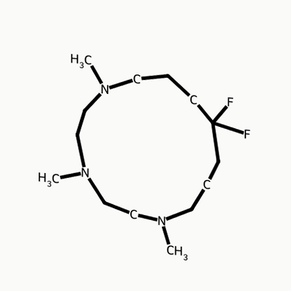 CN1CCCC(F)(F)CCCN(C)CCN(C)CC1